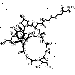 CCC(C)C1NC(=O)CNC(=O)C2Cc3c([nH]c4cc(O)ccc34)[S+]([O-])CC(NC(=O)CNC1=O)C(=O)NC(CC(=O)NCCCCCC(=O)NC)C(=O)N1CC(O)CC1C(=O)NC(C(C)[C@@H](O)CO)C(=O)N2